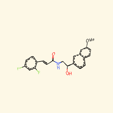 COc1ccc2ccc(C(O)CNC(=O)C=Cc3ccc(F)cc3F)cc2c1